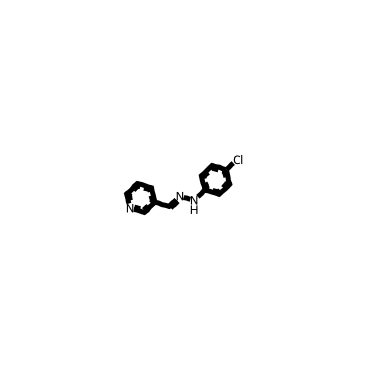 Clc1ccc(NN=Cc2cccnc2)cc1